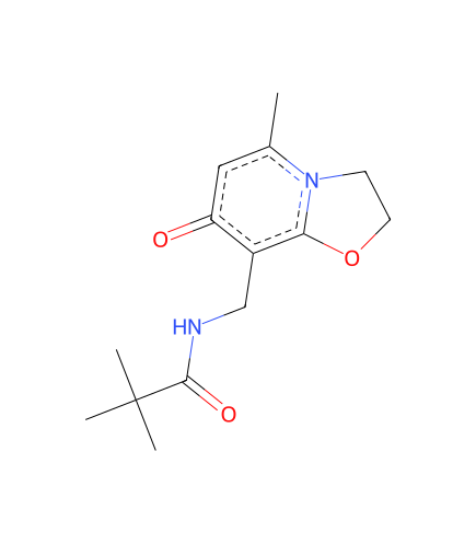 Cc1cc(=O)c(CNC(=O)C(C)(C)C)c2n1CCO2